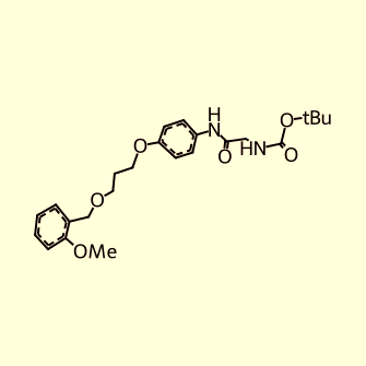 COc1ccccc1COCCCOc1ccc(NC(=O)CNC(=O)OC(C)(C)C)cc1